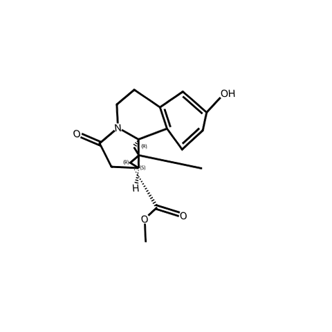 COC(=O)[C@@H]1C(C)C[C@@]23c4ccc(O)cc4CCN2C(=O)C[C@@H]13